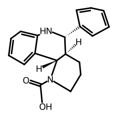 O=C(O)N1CCC[C@@H]2[C@@H](c3ccccc3)Nc3ccccc3[C@H]21